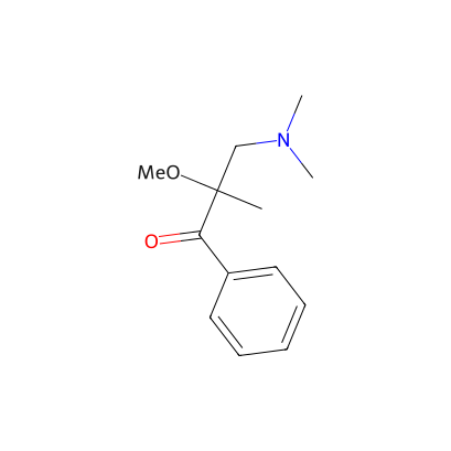 COC(C)(CN(C)C)C(=O)c1ccccc1